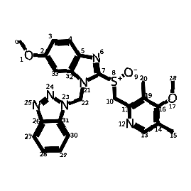 COc1ccc2nc([S+]([O-])Cc3ncc(C)c(OC)c3C)n(Cn3nnc4ccccc43)c2c1